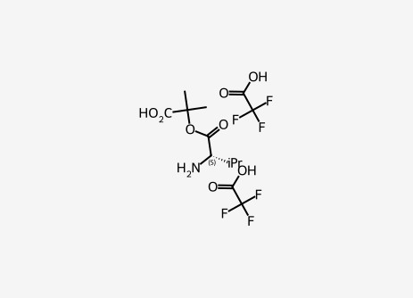 CC(C)[C@H](N)C(=O)OC(C)(C)C(=O)O.O=C(O)C(F)(F)F.O=C(O)C(F)(F)F